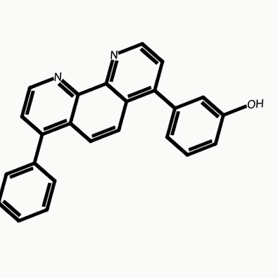 Oc1cccc(-c2ccnc3c2ccc2c(-c4ccccc4)ccnc23)c1